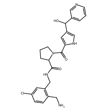 NCc1ccc(Cl)cc1CNC(=O)C1CCCN1C(=O)c1cc(C(O)c2cccnc2)c[nH]1